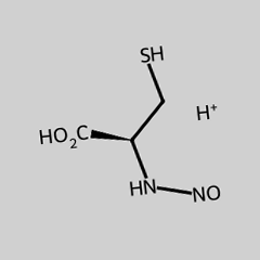 O=NN[C@H](CS)C(=O)O.[H+]